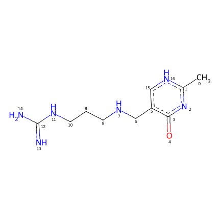 Cc1nc(=O)c(CNCCCNC(=N)N)c[nH]1